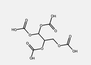 O=C(O)OCC(OC(=O)O)C(OC(=O)O)OC(=O)O